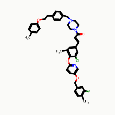 Cc1ccc(OCCc2ccc(CN3CCN(C(=O)C=Cc4cc(C)c(Oc5ccc(OCc6ccc(C)c(F)c6)cn5)c(Cl)c4)CC3)cc2)cc1